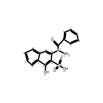 NN(C(=O)c1ccccc1)c1cc2ccccc2c(O)c1S(=O)(=O)O